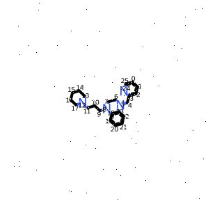 c1ccc(CN2CCN(CCCN3CCCCC3)c3ccccc32)nc1